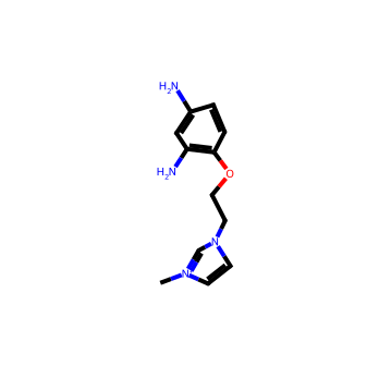 C[n+]1ccn(CCOc2ccc(N)cc2N)c1